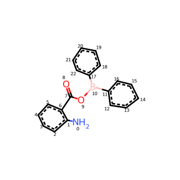 Nc1ccccc1C(=O)OB(c1ccccc1)c1ccccc1